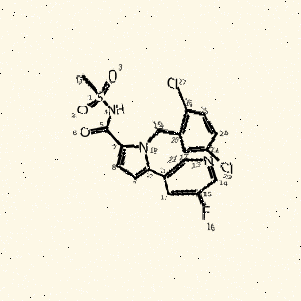 CS(=O)(=O)NC(=O)c1ccc(-c2cncc(F)c2)n1Cc1cc(Cl)ccc1Cl